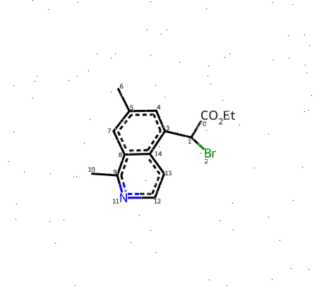 CCOC(=O)C(Br)c1cc(C)cc2c(C)nccc12